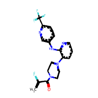 C=C(F)C(=O)N1CCN(c2cccnc2Nc2ccc(C(F)(F)F)nc2)CC1